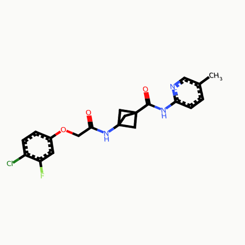 Cc1ccc(NC(=O)C23CC(NC(=O)COc4ccc(Cl)c(F)c4)(C2)C3)nc1